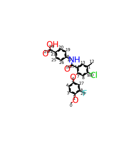 COc1ccc(Oc2cc(Cl)c(C)cc2C(=O)Nc2ccc(C(=O)O)cc2)cc1F